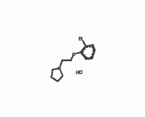 CCc1ccccc1OCCN1CCCC1.Cl